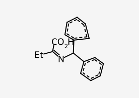 CCC(=NC(c1ccccc1)c1ccccc1)C(=O)O